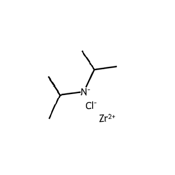 CC(C)[N-]C(C)C.[Cl-].[Zr+2]